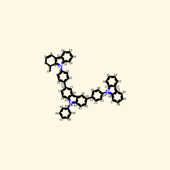 CC1CC=Cc2c1n(-c1ccc(-c3ccc4c(c3)c3cc(-c5ccc(-n6c7ccccc7c7ccccc76)cc5)ccc3n4-c3ccccc3)cc1)c1ccccc21